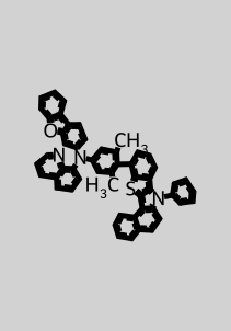 Cc1cc(N(c2ccc3c(c2)oc2ccccc23)c2cccc3cccnc23)cc(C)c1-c1cccc2c1sc1c3c4ccccc4ccc3n(-c3ccccc3)c21